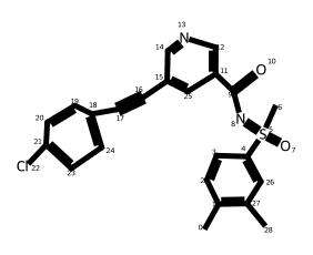 Cc1ccc(S(C)(=O)=NC(=O)c2cncc(C#Cc3ccc(Cl)cc3)c2)cc1C